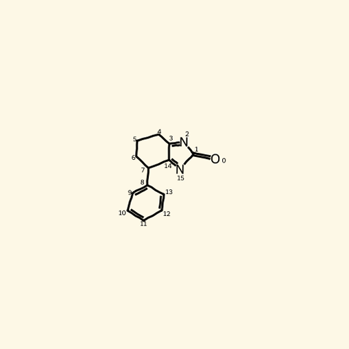 O=C1N=C2CCCC(c3ccccc3)C2=N1